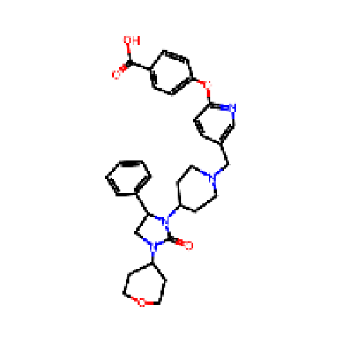 O=C(O)c1ccc(Oc2ccc(CN3CCC(N4C(=O)N(C5CCOCC5)CC4c4ccccc4)CC3)cn2)cc1